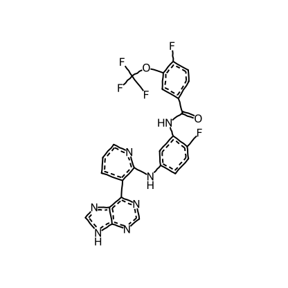 O=C(Nc1cc(Nc2ncccc2-c2ncnc3[nH]cnc23)ccc1F)c1ccc(F)c(OC(F)(F)F)c1